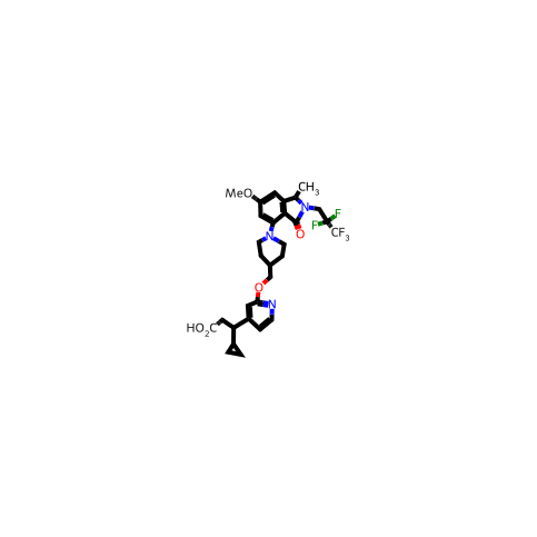 COc1cc2c(c(N3CCC(COc4cc(C(CC(=O)O)C5CC5)ccn4)CC3)c1)C(=O)N(CC(F)(F)C(F)(F)F)C2C